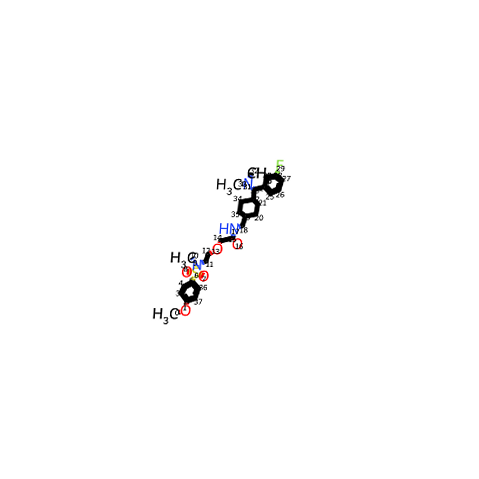 COc1ccc(S(=O)(=O)N(C)CCOCC(=O)NCC2CCC(C(c3cccc(F)c3)N(C)C)CC2)cc1